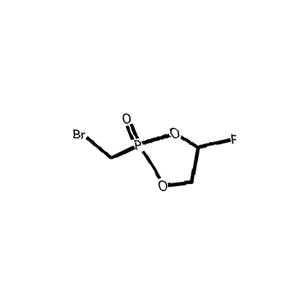 O=P1(CBr)OCC(F)O1